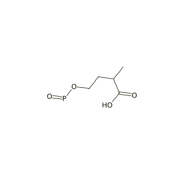 CC(CCOP=O)C(=O)O